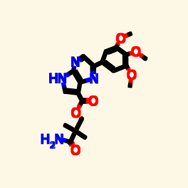 COc1cc(-c2cnc3[nH]cc(C(=O)OCC(C)(C)C(N)=O)c3n2)cc(OC)c1OC